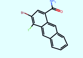 NC(=O)c1cc(Br)c(F)c2cc3ccccc3cc12